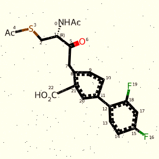 CC(=O)N[C@@H](CSC(C)=O)C(=O)Cc1ccc(-c2ccc(F)cc2F)cc1C(=O)O